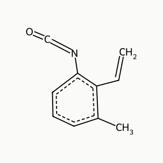 C=Cc1c(C)cccc1N=C=O